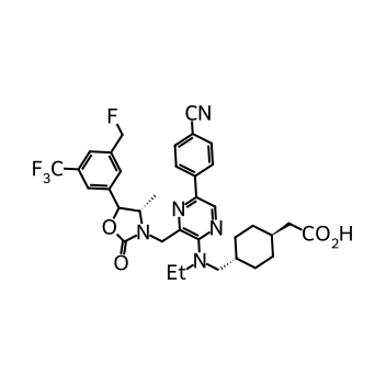 CCN(C[C@H]1CC[C@H](CC(=O)O)CC1)c1ncc(-c2ccc(C#N)cc2)nc1CN1C(=O)OC(c2cc(CF)cc(C(F)(F)F)c2)[C@@H]1C